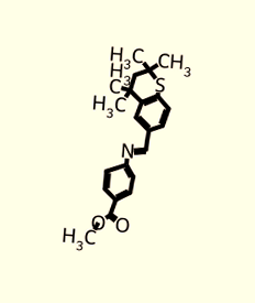 COC(=O)c1ccc(N=Cc2ccc3c(c2)C(C)(C)CC(C)(C)S3)cc1